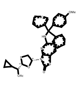 COc1ccc(C(Nc2ncc3sc(=O)n([C@H]4CS[C@@H](C(OC(C)=O)C5CC5)O4)c3n2)(c2ccccc2)c2ccccc2)cc1